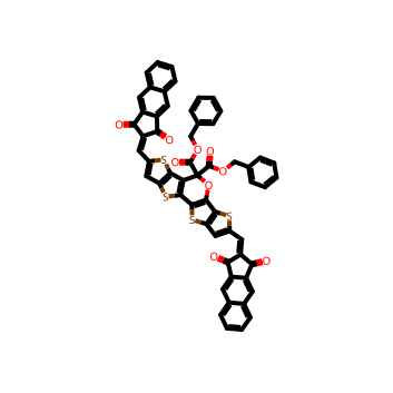 O=C1C(=Cc2cc3sc4c(c3s2)OC(C(=O)OCc2ccccc2)(C(=O)OCc2ccccc2)c2c-4sc3cc(C=C4C(=O)c5cc6ccccc6cc5C4=O)sc23)C(=O)c2cc3ccccc3cc21